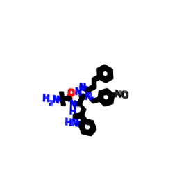 CC(C)(N)C(=O)N[C@H](Cc1c[nH]c2ccccc12)c1nnc(CCc2ccccc2)n1Cc1ccc(N=O)cc1